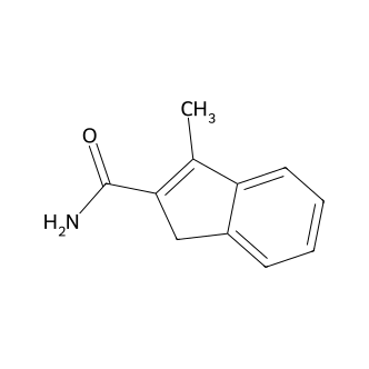 CC1=C(C(N)=O)Cc2ccccc21